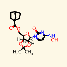 CC1(C)O[C@@H]2[C@H](O1)C(COC(=O)C13CCC(CC1)CC3)O[C@H]2n1ccc(NO)nc1=O